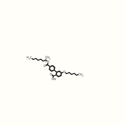 CCCCCCOc1ccc(C(=O)O)c(-c2ccc(C(=O)O[C@@H](C)CCCCCC)cc2)c1